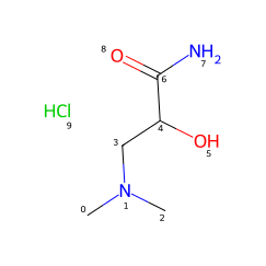 CN(C)CC(O)C(N)=O.Cl